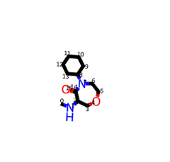 CNC1COCCN(C2CCCCC2)C1=O